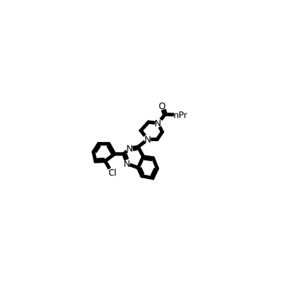 CCCC(=O)N1CCN(c2nc(-c3ccccc3Cl)nc3ccccc23)CC1